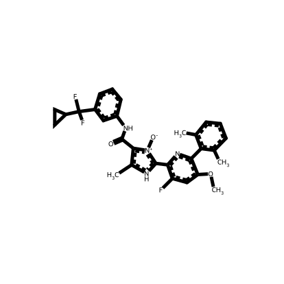 COc1cc(F)c(-c2[nH]c(C)c(C(=O)Nc3cccc(C(F)(F)C4CC4)c3)[n+]2[O-])nc1-c1c(C)cccc1C